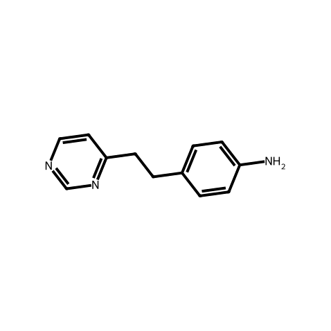 Nc1ccc(CCc2ccncn2)cc1